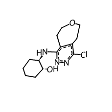 O[C@@H]1CCCC[C@H]1Nc1nnc(Cl)c2c1CCOCC2